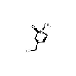 Cn1ncc(CO)cc1=O